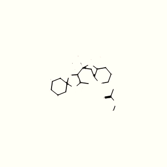 COC(=O)C[C@H]1CC[C@@H]2O[C@@H]3C[C@]2(C[C@H]2OC4(CCCCC4)O[C@@H]32)O1